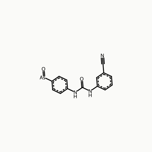 N#Cc1cccc(NC(=O)Nc2ccc([As]=O)cc2)c1